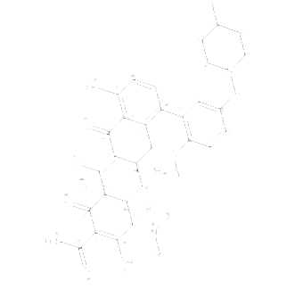 COc1ccc(CN2CCC(C)CC2)cc1-c1ccc(O)c2c1C[C@H]1C[C@H]3[C@H](N(C)C)C(O)=C(C(N)=O)C(=O)[C@@]3(O)C(O)=C1C2=O